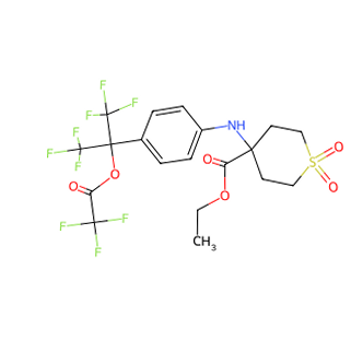 CCOC(=O)C1(Nc2ccc(C(OC(=O)C(F)(F)F)(C(F)(F)F)C(F)(F)F)cc2)CCS(=O)(=O)CC1